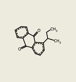 CCC(C)c1cccc2c1C(=O)c1ccccc1C2=O